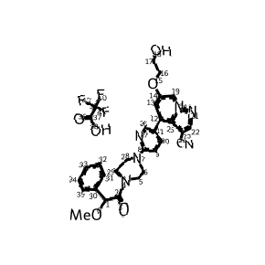 COC(C(=O)N1CCN(c2ccc(-c3cc(OCCO)cn4ncc(C#N)c34)cn2)CC1)c1ccccc1.O=C(O)C(F)(F)F